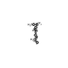 Cc1ccc(-c2cc(C(F)(F)F)nn2-c2ccc(S(=O)(=O)NC(=O)OCC3CCCN(/N=N\OC(C)OC(=O)c4ccccc4)C3)cc2)cc1